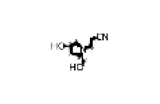 N#CCCN1C[C@H](O)C[C@@H]1CO